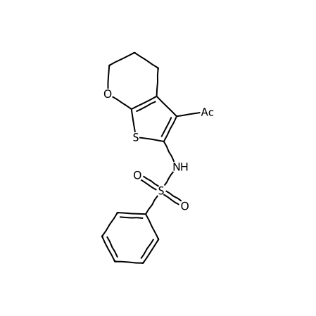 CC(=O)c1c(NS(=O)(=O)c2ccccc2)sc2c1CCCO2